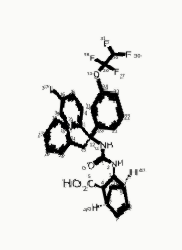 O=C(N[C@@H]1[C@H](C(=O)O)[C@@H]2C=C[C@H]1C2)N[C@@](Cc1ccccc1)(c1cccc(OC(F)(F)C(F)F)c1)c1ccc(I)cn1